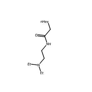 CCCCCCCC(=O)NCCN(CC)CC